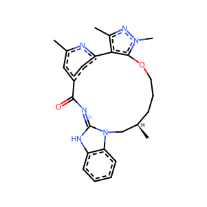 Cc1cc2cc(n1)-c1c(C)nn(C)c1OCCC[C@@H](C)CN1/C(=N/C2=O)Nc2ccccc21